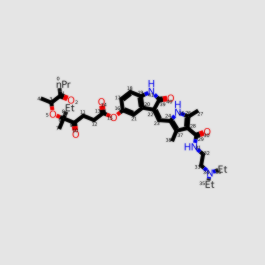 CCCC(=O)C(C)OC(C)(CC)C(=O)CCC(=O)Oc1ccc2c(c1)/C(=C/c1[nH]c(C)c(C(=O)NCCN(CC)CC)c1C)C(=O)N2